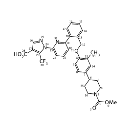 COC(=O)N1CCC(c2ccc(OCc3ccccc3-c3cccc(-n4ncc(C(=O)O)c4C(F)(F)F)n3)c(C)c2)CC1